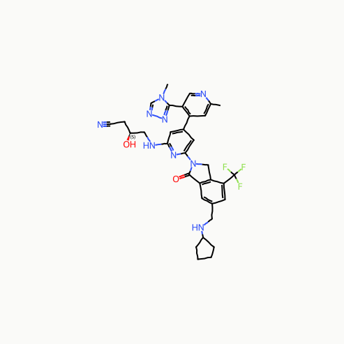 Cc1cc(-c2cc(NC[C@@H](O)CC#N)nc(N3Cc4c(cc(CNC5CCCC5)cc4C(F)(F)F)C3=O)c2)c(-c2nncn2C)cn1